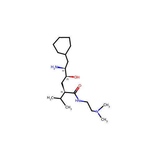 CC(C)[C@@H](C[C@H](O)[C@@H](N)CC1CCCCC1)C(=O)NCCN(C)C